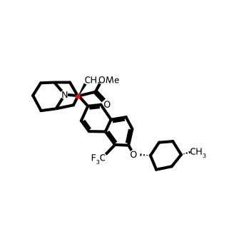 COC(=O)C1CC2CCCC(C1)N2[C@@H](C)c1ccc2c(C(F)(F)F)c(O[C@H]3CC[C@@H](C)CC3)ccc2c1